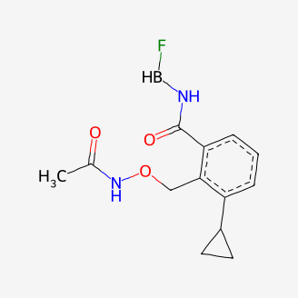 CC(=O)NOCc1c(C(=O)NBF)cccc1C1CC1